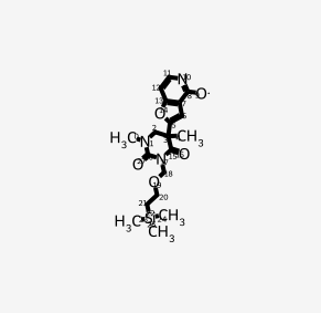 CN1CC(C)(c2cc3c([O])nccc3o2)C(=O)N(COCC[Si](C)(C)C)C1=O